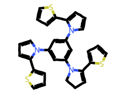 C1=C(c2cccs2)N(c2cc(-n3cccc3-c3cccs3)cc(-n3cccc3-c3cccs3)c2)CC1